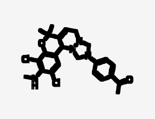 CNc1c(Cl)cc2c(c1Cl)OC(C)(C)C1=CCN3CN(c4ccc(C(C)=O)cc4)CN3C12